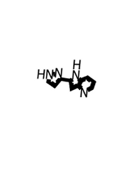 c1cnc2cc(-c3cc[nH]n3)[nH]c2c1